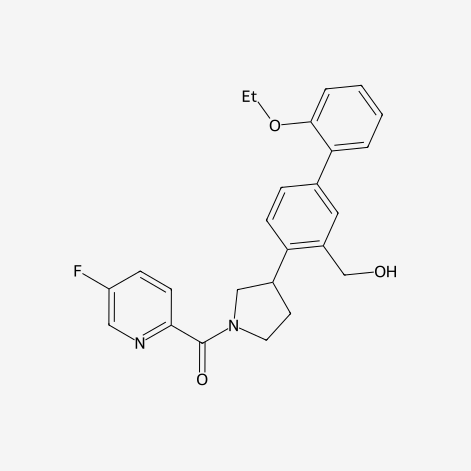 CCOc1ccccc1-c1ccc(C2CCN(C(=O)c3ccc(F)cn3)C2)c(CO)c1